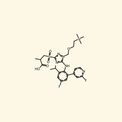 CC(CS(=O)(=O)c1nc(Nc2c(-c3ccnc(F)c3)cc(F)cc2C(C)C)n(COCC[Si](C)(C)C)n1)C(=O)O